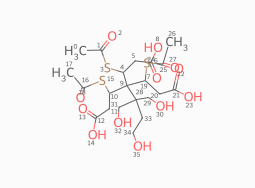 CC(=O)SC(CC(=O)O)C(C(CC(=O)O)SC(C)=O)(C(CC(=O)O)SC(C)=O)C(CO)(CO)CCO